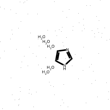 O.O.O.O.O.c1c[nH]cn1